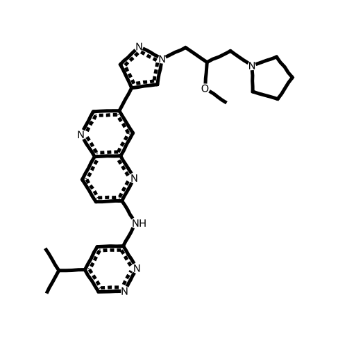 COC(CN1CCCC1)Cn1cc(-c2cnc3ccc(Nc4cc(C(C)C)cnn4)nc3c2)cn1